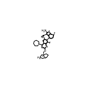 N#Cc1c(N)sc2c(F)ccc(-c3c(Cl)cc4c(N5CCCCCC5)nc(OC[C@@]56CCCN5C[C@H](F)C6)nc4c3F)c12